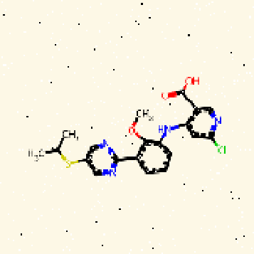 COc1c(Nc2cc(Cl)ncc2C(=O)O)cccc1-c1ncc(SC(C)C)cn1